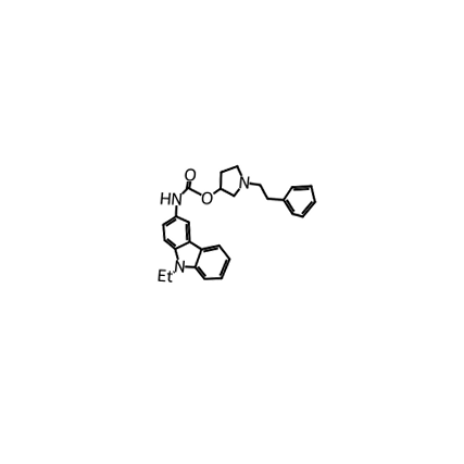 CCn1c2ccccc2c2cc(NC(=O)OC3CCN(CCc4ccccc4)C3)ccc21